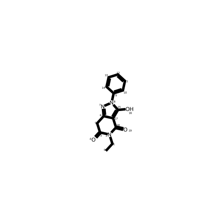 CCN1C(=O)Cc2nn(-c3ccccc3)c(O)c2C1=O